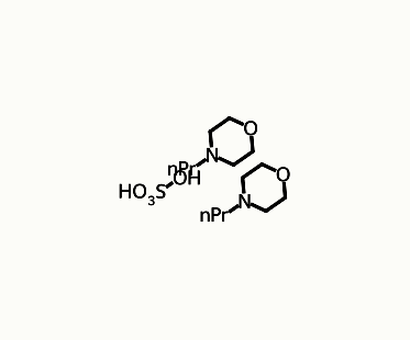 CCCN1CCOCC1.CCCN1CCOCC1.O=S(=O)(O)O